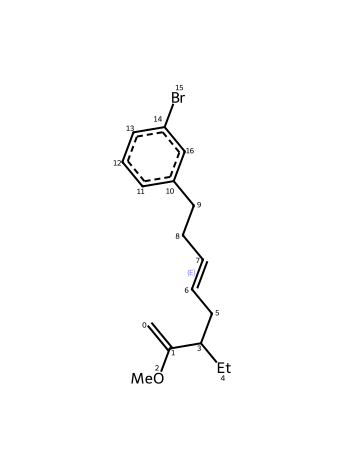 C=C(OC)C(CC)C/C=C/CCc1cccc(Br)c1